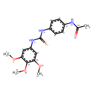 COc1cc(NC(=S)Nc2ccc(NC(C)=O)cc2)cc(OC)c1OC